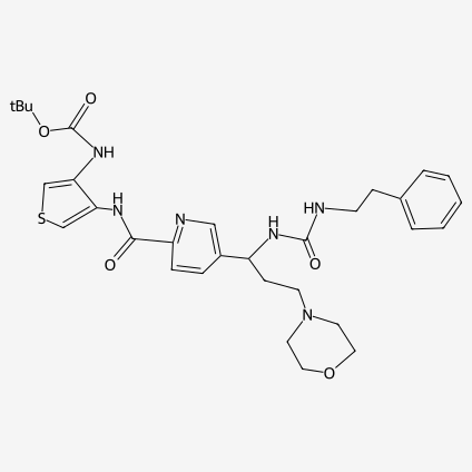 CC(C)(C)OC(=O)Nc1cscc1NC(=O)c1ccc(C(CCN2CCOCC2)NC(=O)NCCc2ccccc2)cn1